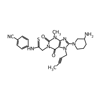 CC#CCn1c(N2CCCC(N)C2)nc2c1c(=O)n(CC(=S)Nc1ccc(C#N)cc1)c(=O)n2C